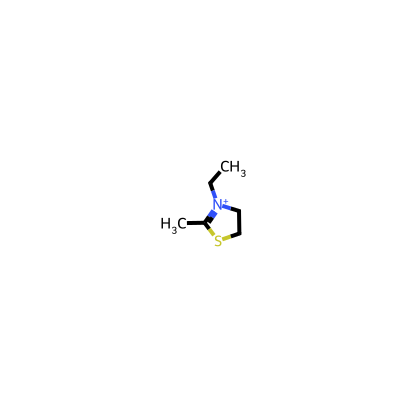 CC[N+]1=C(C)SCC1